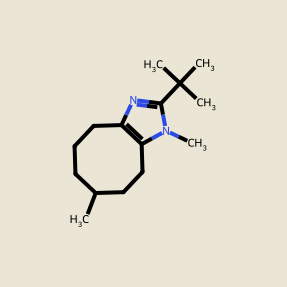 CC1CCCc2nc(C(C)(C)C)n(C)c2CC1